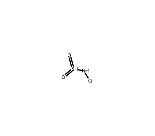 O=[SH](=O)NCl